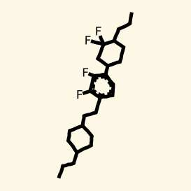 CCCC1CCC(CCc2ccc(C3CCC(CCC)C(F)(F)C3)c(F)c2F)CC1